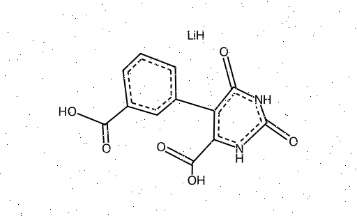 O=C(O)c1cccc(-c2c(C(=O)O)[nH]c(=O)[nH]c2=O)c1.[LiH]